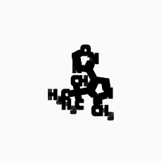 Cn1ncc(-c2ncon2)c1C(C)(C)C